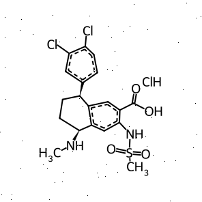 CN[C@H]1CC[C@@H](c2ccc(Cl)c(Cl)c2)c2cc(C(=O)O)c(NS(C)(=O)=O)cc21.Cl